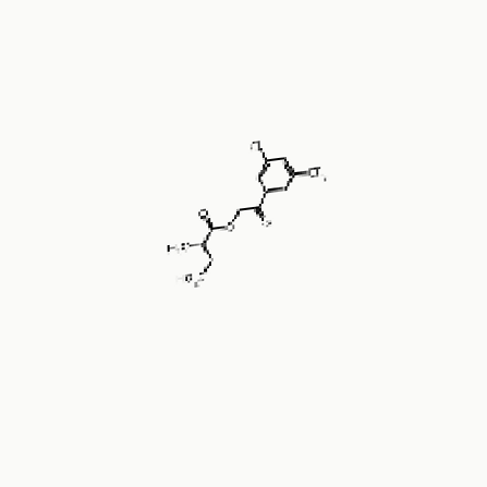 CC(CC(=O)O)C(=O)OCC(=O)c1cc(Cl)cc(C(F)(F)F)c1